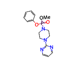 COP(=O)(Oc1ccccc1)N1CCN(c2ncccn2)CC1